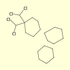 C1CCCCC1.C1CCCCC1.ClC(Cl)C1(C(Cl)Cl)CCCCC1